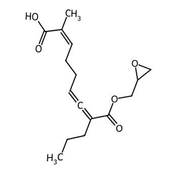 CCCC(=C=CCCC=C(C)C(=O)O)C(=O)OCC1CO1